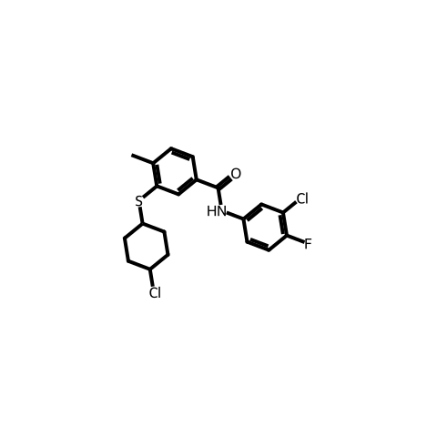 Cc1ccc(C(=O)Nc2ccc(F)c(Cl)c2)cc1SC1CCC(Cl)CC1